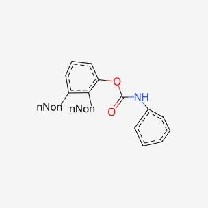 CCCCCCCCCc1cccc(OC(=O)Nc2ccccc2)c1CCCCCCCCC